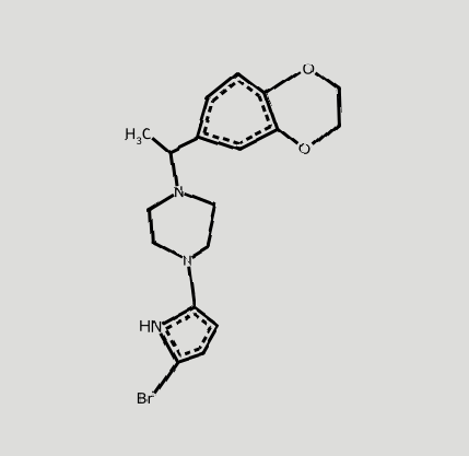 CC(c1ccc2c(c1)OCCO2)N1CCN(c2ccc(Br)[nH]2)CC1